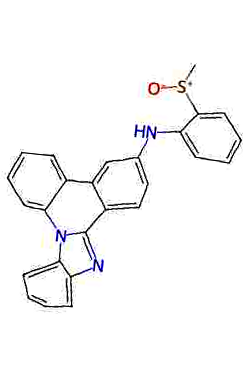 C[S+]([O-])c1ccccc1Nc1ccc2c(c1)c1ccccc1n1c3ccccc3nc21